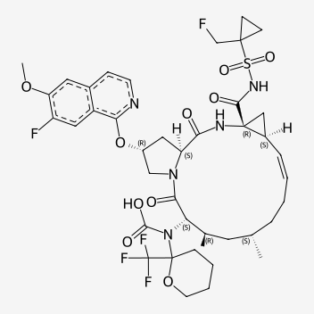 COc1cc2ccnc(O[C@@H]3C[C@H]4C(=O)N[C@]5(C(=O)NS(=O)(=O)C6(CF)CC6)C[C@H]5C=CCC[C@H](C)C[C@@H](C)[C@H](N(C(=O)O)C5(C(F)(F)F)CCCCO5)C(=O)N4C3)c2cc1F